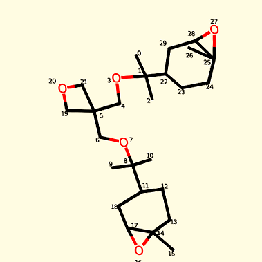 CC(C)(OCC1(COC(C)(C)C2CCC3(C)OC3C2)COC1)C1CCC2(C)OC2C1